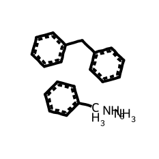 Cc1ccccc1.N.N.c1ccc(Cc2ccccc2)cc1